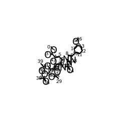 COC(=O)C1=C[C@H](n2cc(-c3cccc(OC)c3)nn2)[C@@H](NC(C)=O)[C@H]([C@H](OC(C)=O)[C@@H](COC(C)=O)OC(C)=O)O1